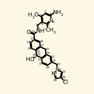 Cc1cc(N)nc(C)c1CNC(=O)c1ccc2c(c1)Cc1cc(Cn3cc(Cl)cn3)ccc1[C@@H]2O